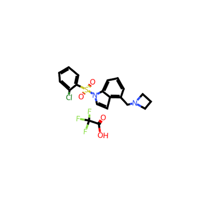 O=C(O)C(F)(F)F.O=S(=O)(c1ccccc1Cl)n1ccc2c(CN3CCC3)cccc21